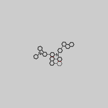 c1ccc(-n2c3ccccc3c3cc(-c4ccc(N(c5ccc(-c6cccc7c6ccc6ccccc67)cc5)c5ccccc5-c5cccc6cccc(C7CCCCC7)c56)cc4)ccc32)cc1